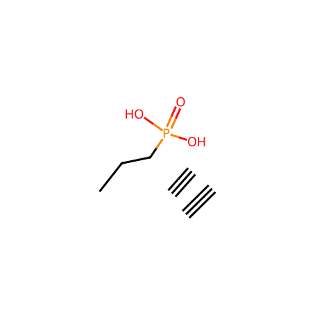 C#C.C#C.CCCP(=O)(O)O